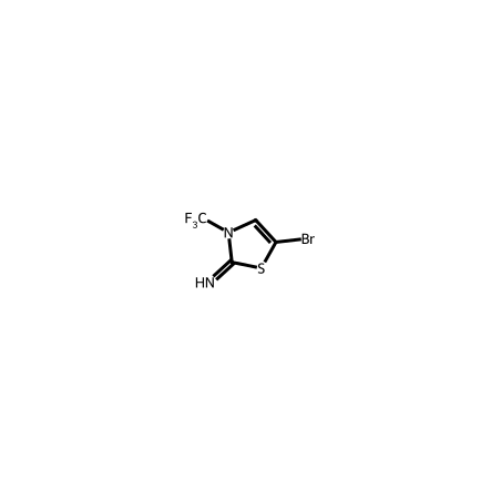 N=c1sc(Br)cn1C(F)(F)F